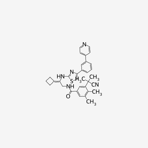 Cc1cc(C(=O)NCC(Nc2nc(-c3cccc(-c4ccncc4)c3)cs2)=C2CCC2)cc(C(C)(C)C#N)c1C